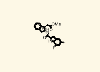 COC(=O)C[C@@H]1c2ccccc2C[C@H]1NC(=O)c1cc2cc(F)cc(F)c2[nH]1